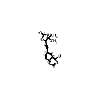 CC1(C)NC(=O)OC1C#Cc1ccc2ncnc(Cl)c2c1